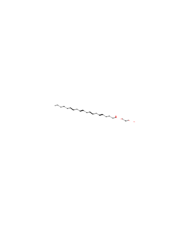 CCCCCC=CCC=CCC=CCC=CCCCC(=O)OCCCOC